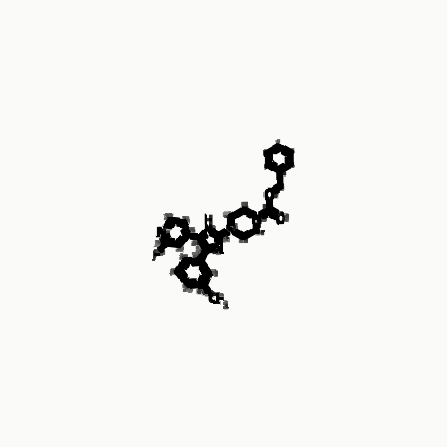 O=C(OCc1ccccc1)N1CCN(c2nc(-c3cccc(C(F)(F)F)c3)c(-c3ccnc(F)c3)[nH]2)CC1